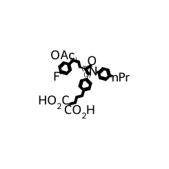 CCCc1ccc(N2C(=O)[C@H](CC[C@H](OC(C)=O)c3ccc(F)cc3)[C@H]2c2ccc(CCCC(C(=O)O)C(=O)O)cc2)cc1